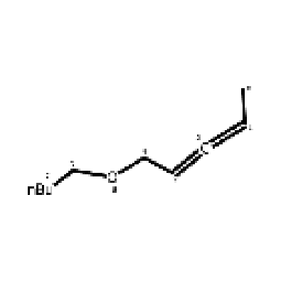 CC=C=CCOCCCCC